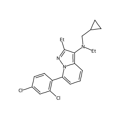 CCc1nn2c(-c3ccc(Cl)cc3Cl)cccc2c1N(CC)CC1CC1